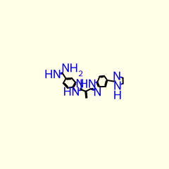 C=C(c1nc2cc(C(=N)N)ccc2[nH]1)c1nc2cc(C3=NCCN3)ccc2[nH]1